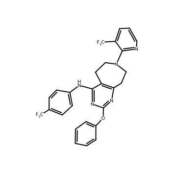 FC(F)(F)c1ccc(Nc2nc(Oc3ccccc3)nc3c2CCN(c2ncccc2C(F)(F)F)CC3)cc1